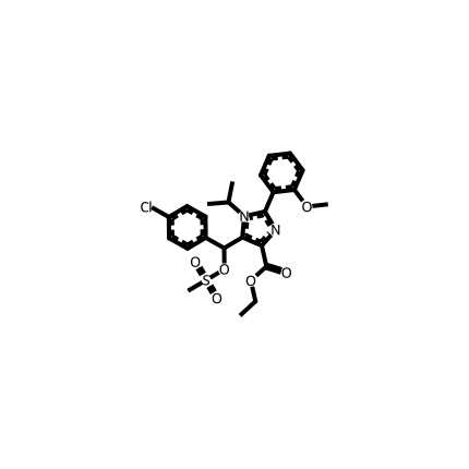 CCOC(=O)c1nc(-c2ccccc2OC)n(C(C)C)c1C(OS(C)(=O)=O)c1ccc(Cl)cc1